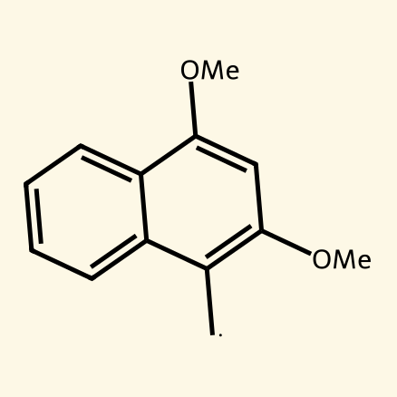 [CH2]c1c(OC)cc(OC)c2ccccc12